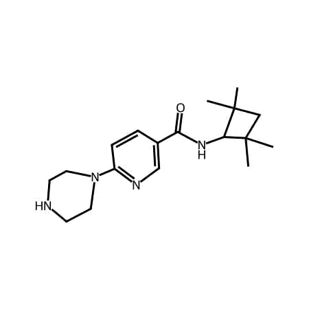 CC1(C)CC(C)(C)C1NC(=O)c1ccc(N2CCNCC2)nc1